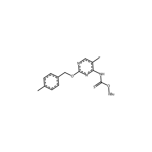 CCCCOC(=S)Nc1nc(OCc2ccc(C)cc2)ncc1F